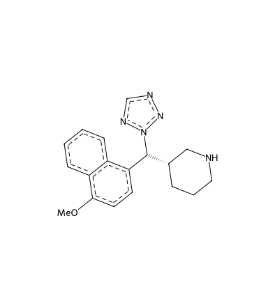 COc1ccc(C([C@H]2CCCNC2)n2ncnn2)c2ccccc12